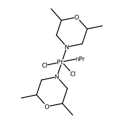 CC[CH2][Pt]([Cl])([Cl])([N]1CC(C)OC(C)C1)[N]1CC(C)OC(C)C1